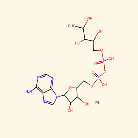 Nc1ncnc2c1ncn2C1OC(COP(=O)(O)OP(=O)(O)OCC(O)C(O)C(O)C=O)C(O)C1O.[Na]